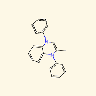 CC1=CN(c2ccccc2)c2ccccc2N1c1ccccc1